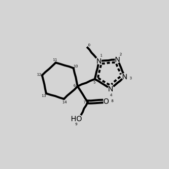 Cn1nnnc1C1(C(=O)O)CCCCC1